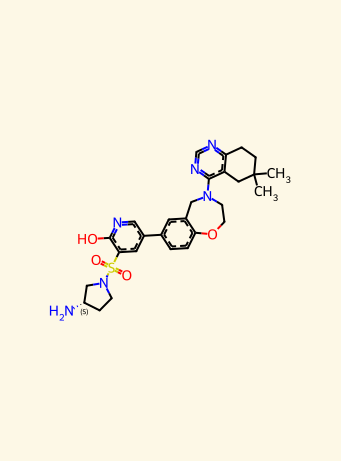 CC1(C)CCc2ncnc(N3CCOc4ccc(-c5cnc(O)c(S(=O)(=O)N6CC[C@H](N)C6)c5)cc4C3)c2C1